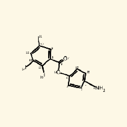 Nc1ccc(OC(=O)c2cc(I)cc(I)c2I)cc1